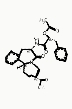 CC(=O)O[C@H](Cc1ccccc1)C(=O)N[C@H]1Cc2ccccc2[C@H]2CC[C@@H](C(=O)O)CN2C1=O